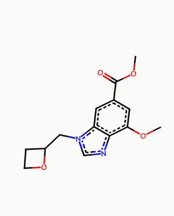 COC(=O)c1cc(OC)c2ncn(CC3CCO3)c2c1